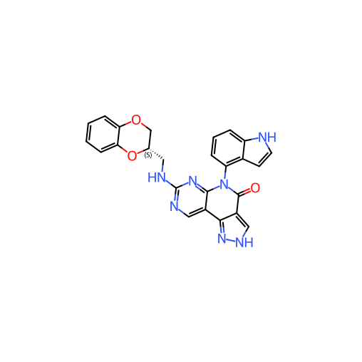 O=c1c2c[nH]nc2c2cnc(NC[C@H]3COc4ccccc4O3)nc2n1-c1cccc2[nH]ccc12